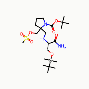 CC(C)(C)OC(=O)N1CCCC1(CN[C@@H](CO[Si](C)(C)C(C)(C)C)C(N)=O)COS(C)(=O)=O